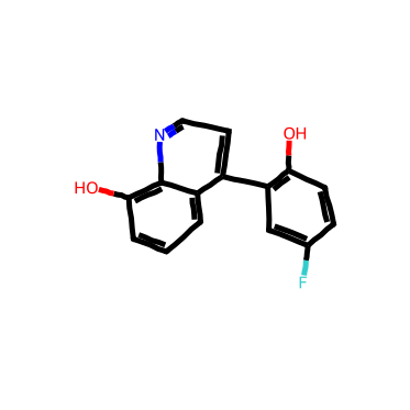 Oc1ccc(F)cc1-c1ccnc2c(O)cccc12